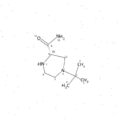 CC(C)(C)N1CCN[C@H](C(N)=O)C1